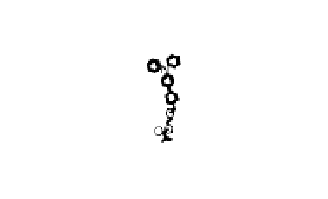 C=C(C)C(=O)OCCOCc1ccc(-c2ccc(N(c3ccccc3)c3ccccc3)cc2)cc1